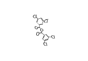 O=C(OC(=O)c1cc(Cl)cc(Cl)c1)c1cc(Cl)cc(Cl)c1